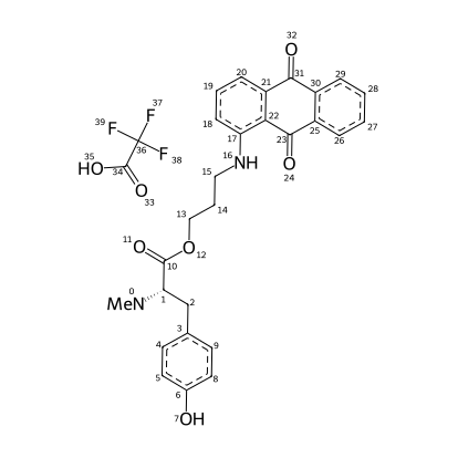 CN[C@@H](Cc1ccc(O)cc1)C(=O)OCCCNc1cccc2c1C(=O)c1ccccc1C2=O.O=C(O)C(F)(F)F